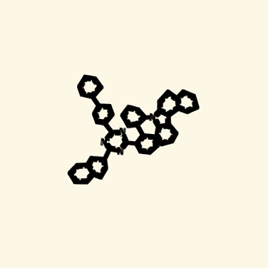 c1ccc(-c2ccc(-c3nc(-c4ccc5ccccc5c4)nc(-c4ccccc4-c4ccccc4-n4c5ccccc5c5c6ccccc6ccc54)n3)cc2)cc1